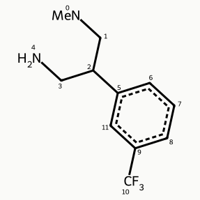 CNCC(CN)c1cccc(C(F)(F)F)c1